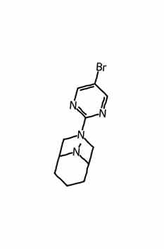 CN1C2CCCC1CN(c1ncc(Br)cn1)C2